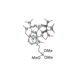 CO[Si](CCc1ccc(CN(C)P(=N[PH](N=P(N(C)C)(N(C)C)N(C)C)(N=P(N(C)C)(N(C)C)N(C)C)N=P(N(C)C)(N(C)C)N(C)C)(N(C)C)N(C)C)cc1)(OC)OC